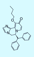 CCCCOc1c2n(ccc1=O)[C@@H](C(c1ccccc1)c1ccccc1)Cn1ccnc1-2